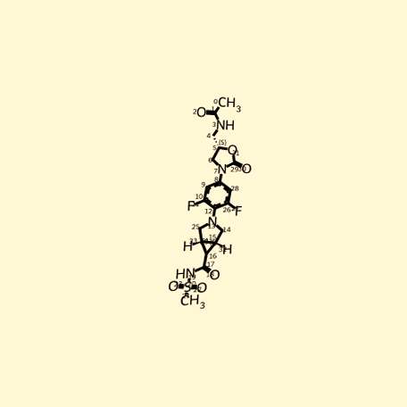 CC(=O)NC[C@H]1CN(c2cc(F)c(N3C[C@@H]4C(C(=O)NS(C)(=O)=O)[C@@H]4C3)c(F)c2)C(=O)O1